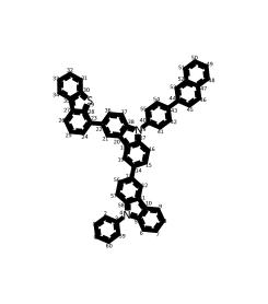 c1ccc(-n2c3ccccc3c3cc(-c4ccc5c(c4)c4cc(-c6cccc7c6sc6ccccc67)ccc4n5-c4ccc(-c5ccc6ccccc6c5)cc4)ccc32)cc1